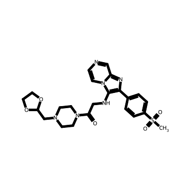 CS(=O)(=O)c1ccc(-c2nc3cnccn3c2NCC(=O)N2CCN(CC3OCCO3)CC2)cc1